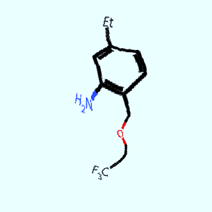 CCc1ccc(COCC(F)(F)F)c(N)c1